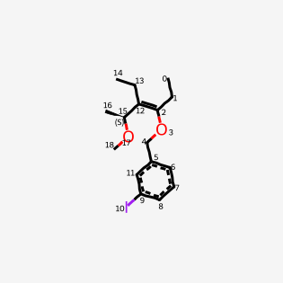 CCC(OCc1cccc(I)c1)=C(CC)[C@H](C)OC